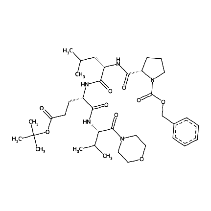 CC(C)C[C@H](NC(=O)[C@@H]1CCCN1C(=O)OCc1ccccc1)C(=O)N[C@@H](CCC(=O)OC(C)(C)C)C(=O)N[C@H](C(=O)N1CCOCC1)C(C)C